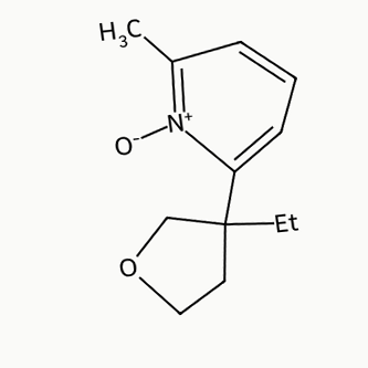 CCC1(c2cccc(C)[n+]2[O-])CCOC1